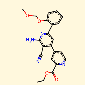 CCOC(=O)c1cc(-c2cc(-c3ccccc3OCOC)nc(N)c2C#N)ccn1